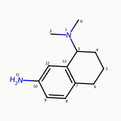 CN(C)C1CCCc2ccc(N)cc21